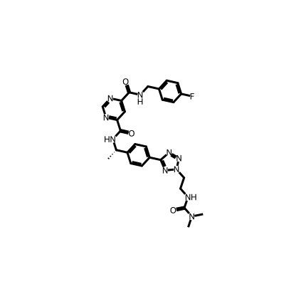 C[C@H](NC(=O)c1cc(C(=O)NCc2ccc(F)cc2)ncn1)c1ccc(-c2nnn(CCNC(=O)N(C)C)n2)cc1